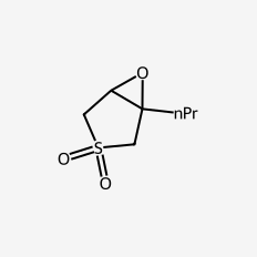 CCCC12CS(=O)(=O)CC1O2